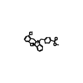 COC(=O)c1ccc(Cn2c(Cc3c(Cl)cccc3Cl)nc3ccccc32)cc1